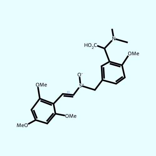 COc1cc(OC)c(/C=C/[S+]([O-])Cc2ccc(OC)c(C(C(=O)O)N(C)C)c2)c(OC)c1